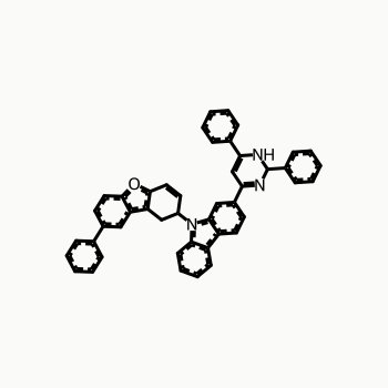 C1=CC(n2c3ccccc3c3ccc(C4=NC(c5ccccc5)NC(c5ccccc5)=C4)cc32)Cc2c1oc1ccc(-c3ccccc3)cc21